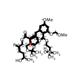 COCOc1cc(OC)cc(/C=C/C[C@@H]2OC(C)(C)O[C@@H]2C(OC(=O)c2ccccc2)/C(F)=C\C[C@@H](C)O)c1C(=O)OCC[Si](C)(C)C